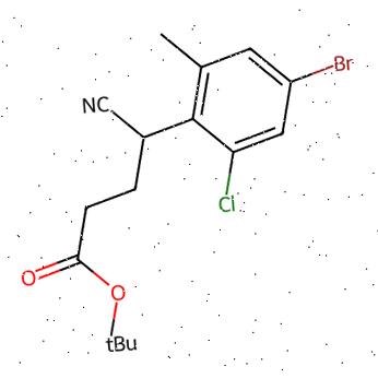 Cc1cc(Br)cc(Cl)c1C(C#N)CCC(=O)OC(C)(C)C